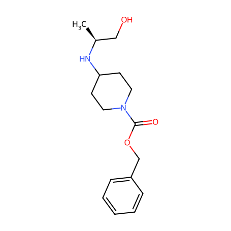 C[C@@H](CO)NC1CCN(C(=O)OCc2ccccc2)CC1